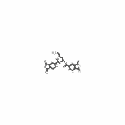 CCCCC(OC(=O)c1ccc2c(c1)C(=O)OC2=O)OC(=O)c1ccc2c(c1)C(=O)OC2=O